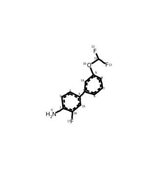 Nc1ccc(-c2cccc(OC(F)F)c2)cc1F